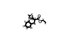 CCOC(=O)C1=C2SCN2c2ccccc2C1